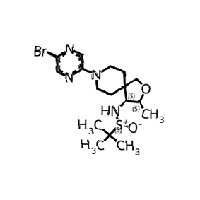 C[C@@H]1OCC2(CCN(c3cnc(Br)cn3)CC2)[C@@H]1N[S@+]([O-])C(C)(C)C